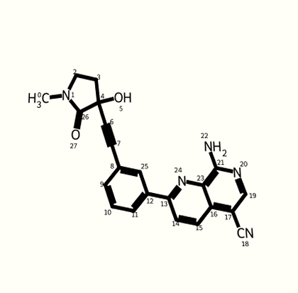 CN1CCC(O)(C#Cc2cccc(-c3ccc4c(C#N)cnc(N)c4n3)c2)C1=O